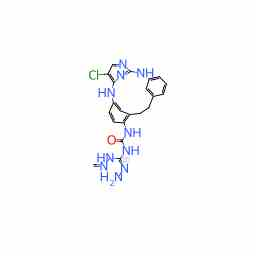 C=NN/C(=N\N)NC(=O)Nc1ccc2cc1CCc1cccc(c1)Nc1ncc(Cl)c(n1)N2